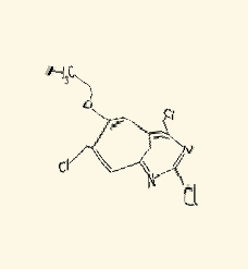 CCOc1cc2c(Cl)nc(Cl)nc2cc1Cl